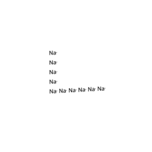 [Na].[Na].[Na].[Na].[Na].[Na].[Na].[Na].[Na].[Na]